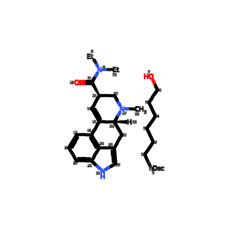 CCCCCCCCCCCCCCCCO.CCN(CC)C(=O)[C@@H]1C=C2c3cccc4[nH]cc(c34)C[C@H]2N(C)C1